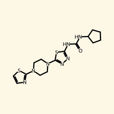 O=C(Nc1nnc(N2CCN(c3nccs3)CC2)s1)NC1CCCC1